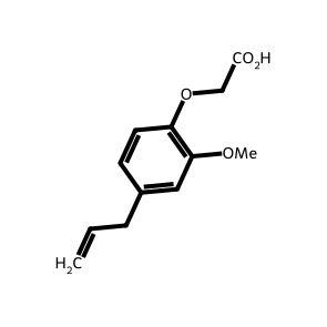 C=CCc1ccc(OCC(=O)O)c(OC)c1